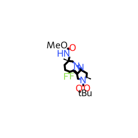 COC(=O)NC[C@@]1(C)CCC(F)(F)c2c3c(nn2C1)C[C@@H](C)N(C(=O)OC(C)(C)C)C3